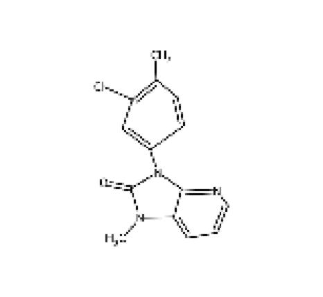 Cc1ccc(-n2c(=O)n(C)c3cccnc32)cc1Cl